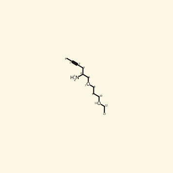 CC#CCC(N)COCCCOCC